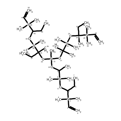 C=C[Si](C)(C)C(CC)O[Si](C)(C)C(C)O[Si](C)(OC(C)(C)[Si](C)(C)O[C@](C)(CC)[Si](C)(C)C=C)OC(C)(CC)[Si](C)(C)OC(CC)[Si](C)(C)C=C